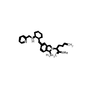 C=CCCC(C(=C)NC)N1Cc2cc(CC3CCCCC3NCc3ccccn3)ccc2C1C